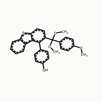 COc1ccc(C(OC)(OC)c2ccc3sc4ccccc4c3c2-c2ccc(O)cc2)cc1